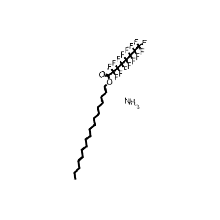 CCCCCCCCCCCCCCCCCCOC(=O)C(F)(F)C(F)(F)C(F)(F)C(F)(F)C(F)(F)C(F)(F)C(F)(F)F.N